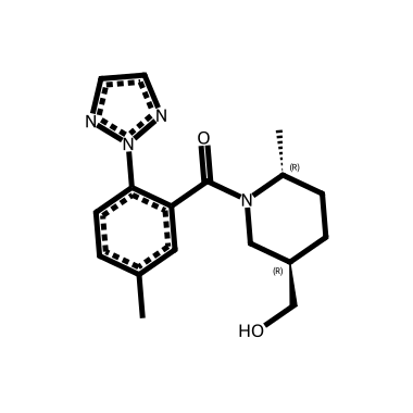 Cc1ccc(-n2nccn2)c(C(=O)N2C[C@H](CO)CC[C@H]2C)c1